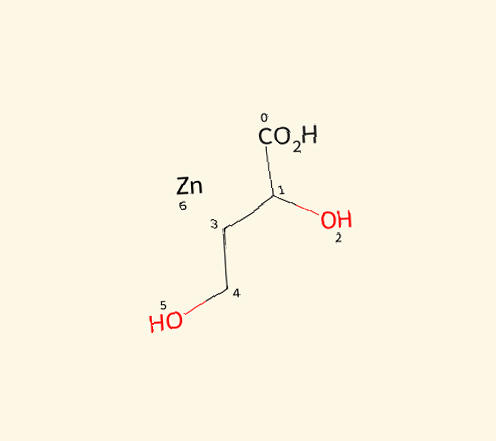 O=C(O)C(O)CCO.[Zn]